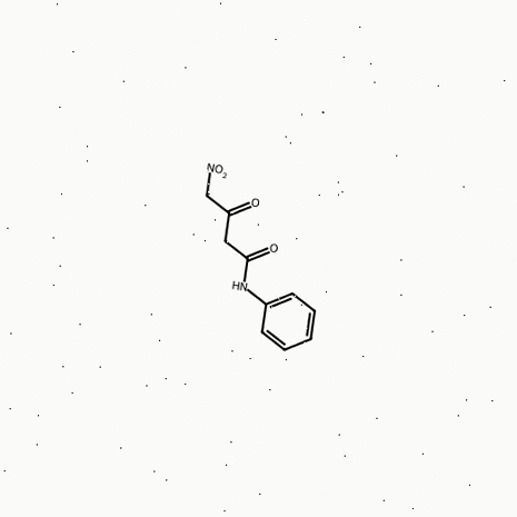 O=C(CC(=O)Nc1ccccc1)C[N+](=O)[O-]